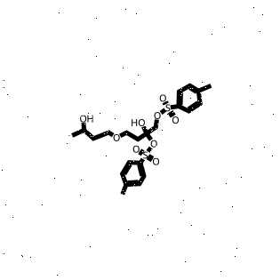 [CH2][C](O)CCOCCC(O)(COS(=O)(=O)c1ccc(C)cc1)OS(=O)(=O)c1ccc(C)cc1